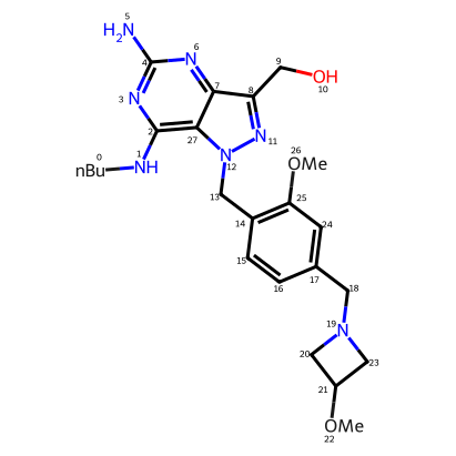 CCCCNc1nc(N)nc2c(CO)nn(Cc3ccc(CN4CC(OC)C4)cc3OC)c12